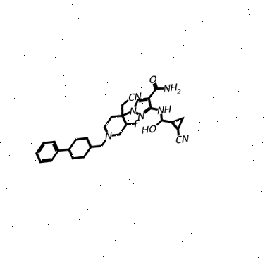 N#CCC1(n2cc(C(N)=O)c(NC(O)C3CC3C#N)n2)CCN(CC2CCC(c3ccccc3)CC2)CC1F